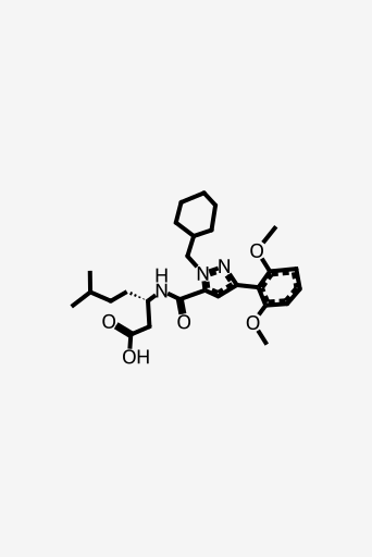 COc1cccc(OC)c1-c1cc(C(=O)N[C@@H](CCC(C)C)CC(=O)O)n(CC2CCCCC2)n1